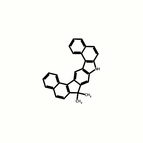 CC1(C)c2cc3[nH]c4ccc5ccccc5c4c3cc2-c2c1ccc1ccccc21